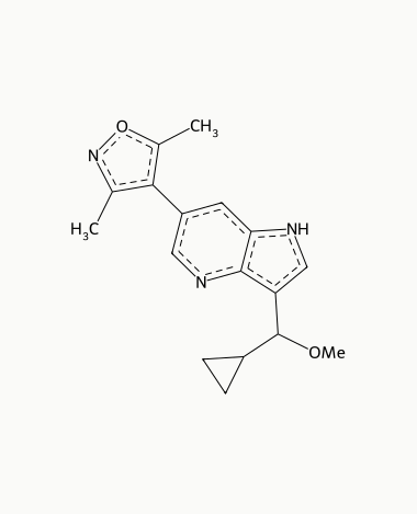 COC(c1c[nH]c2cc(-c3c(C)noc3C)cnc12)C1CC1